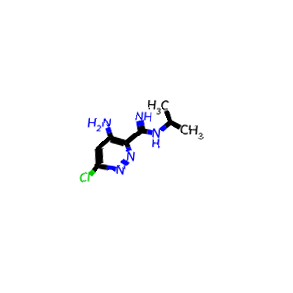 CC(C)NC(=N)c1nnc(Cl)cc1N